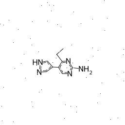 CCc1nc(N)ncc1-c1cn[nH]c1